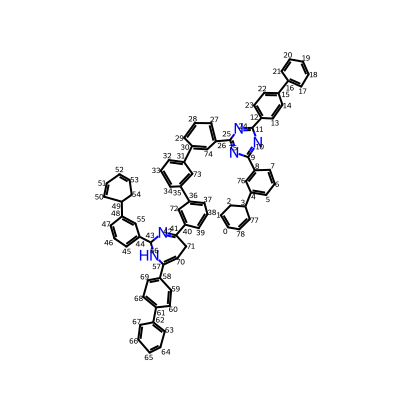 C1=CCC(c2cccc(-c3nc(-c4ccc(-c5ccccc5)cc4)nc(-c4cccc(-c5cccc(-c6cccc(C7=NC(c8cccc(C9C=CC=CC9)c8)NC(c8ccc(-c9ccccc9)cc8)=CC7)c6)c5)c4)n3)c2)C=C1